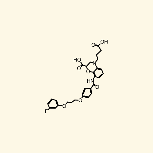 O=C(O)CCCN1CC(C(=O)O)Oc2c(NC(=O)c3ccc(OCCCOc4cccc(F)c4)cc3)cccc21